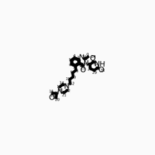 Cc1nc2cccc(CCCCCN3CCN(C4COC4)CC3)c2c(=O)n1C1CCC(=O)NC1=O